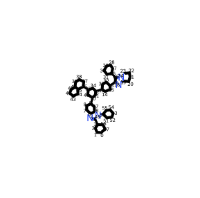 c1ccc(-c2nc3ccc(-c4cc(-c5ccc(-c6nc7ccccn7c6-c6ccccc6)cc5)cc(-c5cccc6ccccc56)c4)cc3n2-c2ccccc2)cc1